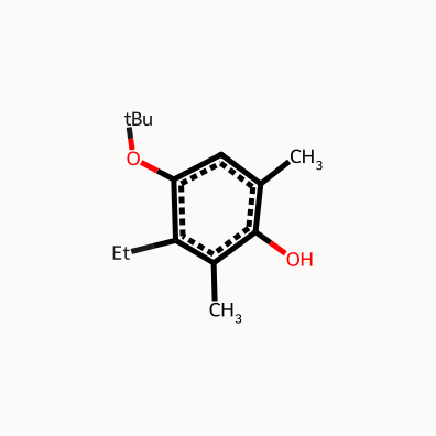 CCc1c(OC(C)(C)C)cc(C)c(O)c1C